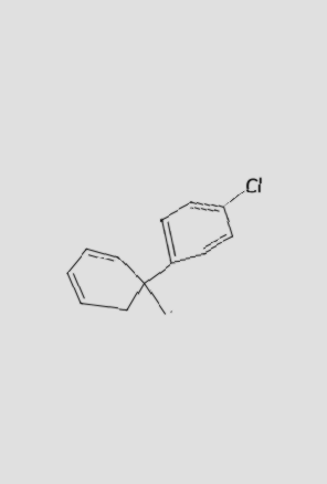 [CH2]C1(c2ccc(Cl)cc2)C=CC=CC1